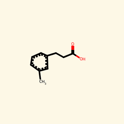 Cc1cccc(CCC(=O)O)c1